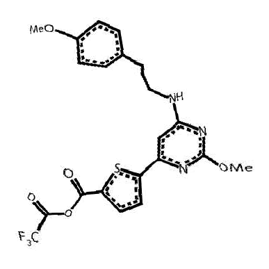 COc1ccc(CCNc2cc(-c3ccc(C(=O)OC(=O)C(F)(F)F)s3)nc(OC)n2)cc1